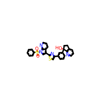 O=S(=O)(c1ccccc1)n1cc(-c2nc(-c3cccc([C@]4(O)CCc5cccnc54)c3)cs2)c2cccnc21